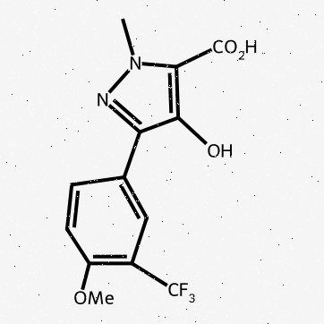 COc1ccc(-c2nn(C)c(C(=O)O)c2O)cc1C(F)(F)F